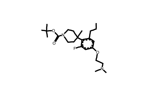 CCCc1cc(OCCN(C)C)cc(F)c1C1(C)CCN(C(=O)OC(C)(C)C)CC1